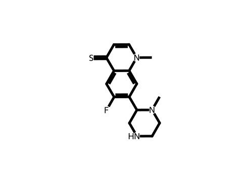 CN1CCNCC1c1cc2c(cc1F)c(=S)ccn2C